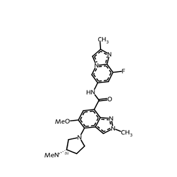 CN[C@H]1CCN(c2c(OC)cc(C(=O)Nc3cc(F)c4nc(C)cn4c3)c3nn(C)cc23)C1